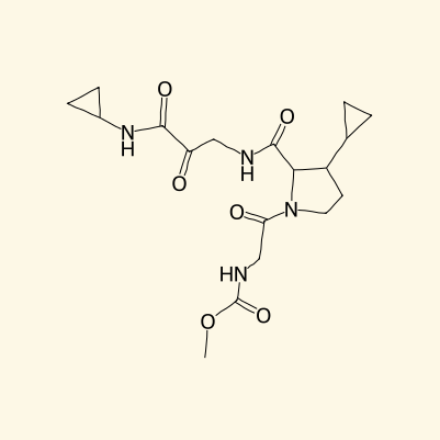 COC(=O)NCC(=O)N1CCC(C2CC2)C1C(=O)NCC(=O)C(=O)NC1CC1